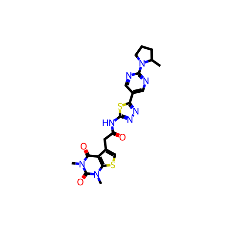 CC1CCCN1c1ncc(-c2nnc(NC(=O)Cc3csc4c3c(=O)n(C)c(=O)n4C)s2)cn1